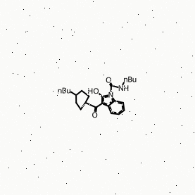 CCCCNC(=O)n1c(O)c(C(=O)C2CCC(CCCC)CC2)c2ccccc21